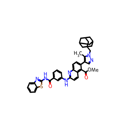 COC(=O)c1c(-c2cnn(CC34CC5CC(CC(C5)C3)C4)c2C)ccc2nc(Nc3cccc(C(=O)Nc4nc5ccccc5s4)c3)ccc12